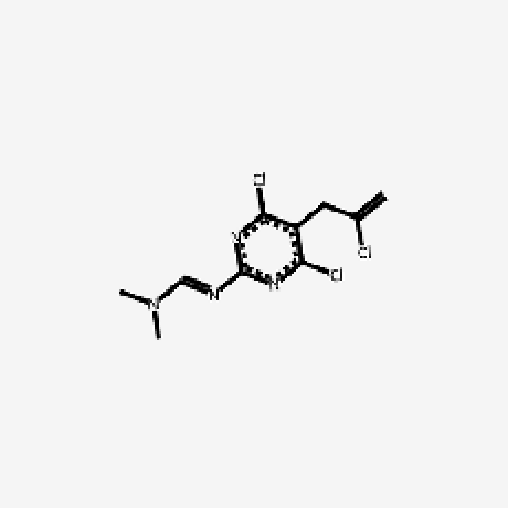 C=C(Cl)Cc1c(Cl)nc(/N=C/N(C)C)nc1Cl